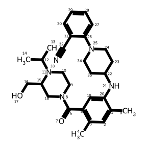 Cc1cc(C)c(C(=O)N2CCN(C(C)C)C(CO)C2)cc1NC1CCN(c2ccccc2C#N)CC1